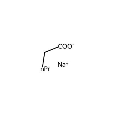 [CH2]CCCC(=O)[O-].[Na+]